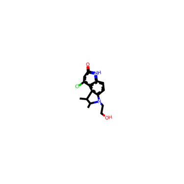 CC1c2c(ccc3[nH]c(=O)cc(Cl)c23)N(CCO)C1C